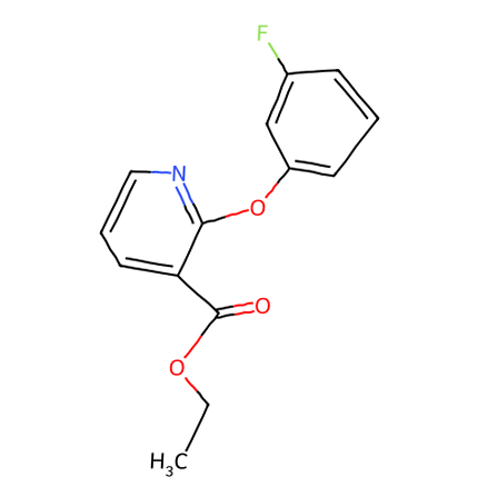 CCOC(=O)c1cccnc1Oc1cccc(F)c1